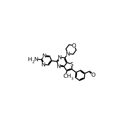 Cc1c(-c2cccc(C=O)c2)sc2c(N3CCOCC3)nc(-c3cnc(N)nc3)nc12